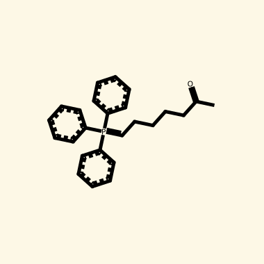 CC(=O)CCCCC=P(c1ccccc1)(c1ccccc1)c1ccccc1